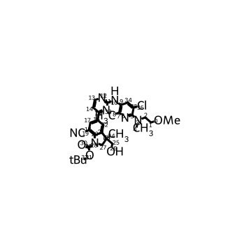 COCCN(C)c1nc(C)c(Nc2nccc(-c3cc(C#N)c4c(c3)[C@@](C)(CO)CN4C(=O)OC(C)(C)C)n2)cc1Cl